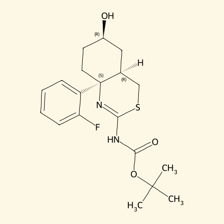 CC(C)(C)OC(=O)NC1=N[C@@]2(c3ccccc3F)CC[C@@H](O)C[C@H]2CS1